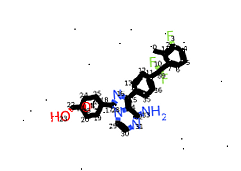 Cc1c(F)cccc1C(F)(F)c1ccc(-c2nc(C34CCC(CO)(CC3)OC4)n3ccnc(N)c23)cc1